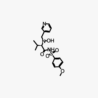 COc1ccc(S(=O)(=O)NC(=O)[C@@H](C(C)C)N(O)Cc2cccnc2)cc1